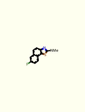 CNc1nc2ccc3cc(F)ccc3c2s1